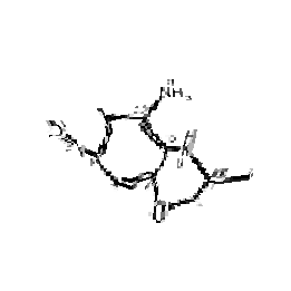 C[C@H]1COc2cc(N=O)cc(N)c2N1